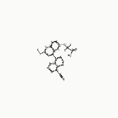 CCc1cc(-c2cccc3c(C#N)cccc23)c2cc(SC(C)(C)C(=O)O)ccc2n1